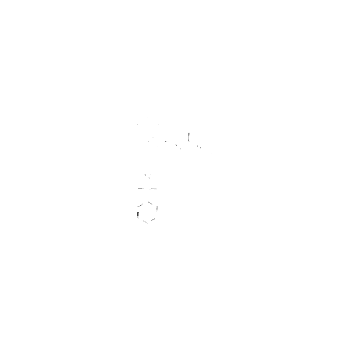 Cc1c(Cl)cccc1S(=O)(=O)N1CCC(C23CC4CC(CC(NC(N)=O)(C4)C2)C3)CC1